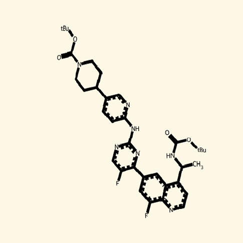 CC(NC(=O)OC(C)(C)C)c1ccnc2c(F)cc(-c3nc(Nc4ccc(C5CCN(C(=O)OC(C)(C)C)CC5)cn4)ncc3F)cc12